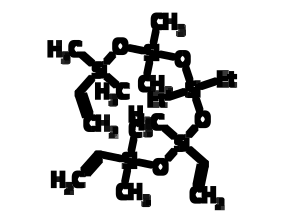 C=C[Si](C)(C)O[Si](C)(C)O[Si](CC)(CC)O[Si](C)(C=C)O[Si](C)(C)C=C